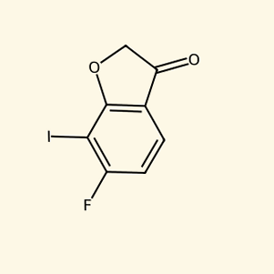 O=C1COc2c1ccc(F)c2I